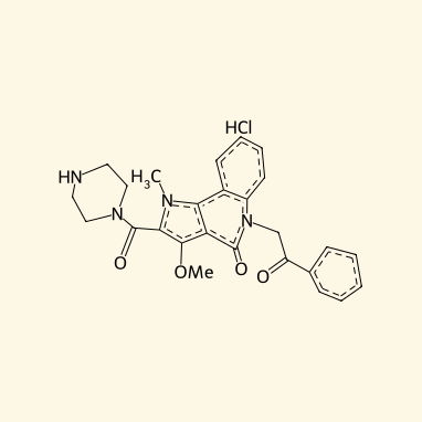 COc1c(C(=O)N2CCNCC2)n(C)c2c1c(=O)n(CC(=O)c1ccccc1)c1ccccc21.Cl